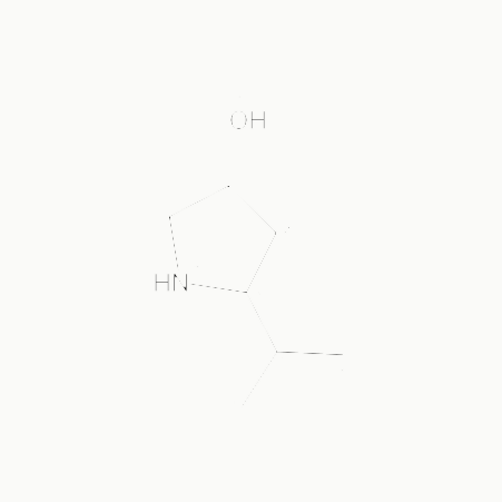 CC(C)C1C[C@@H](O)CN1